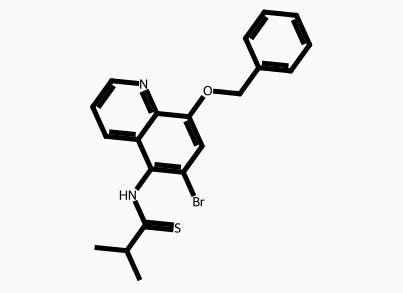 CC(C)C(=S)Nc1c(Br)cc(OCc2ccccc2)c2ncccc12